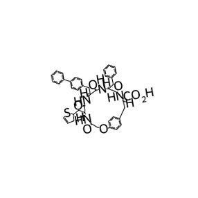 O=C1COc2ccc(cc2)C[C@@H](C(=O)O)NC(=O)[C@@H](Cc2ccccc2)NC(=O)[C@@H](Cc2ccc(-c3ccccc3)cc2)NC(=O)[C@H](CC2CC=CS2)N1